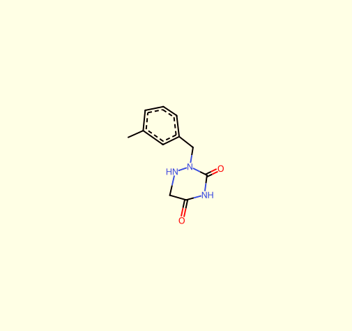 Cc1cccc(CN2NCC(=O)NC2=O)c1